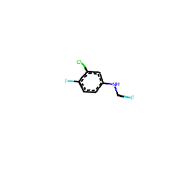 FCNc1ccc(F)c(Cl)c1